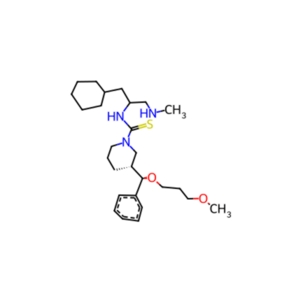 CNCC(CC1CCCCC1)NC(=S)N1CCC[C@@H]([C@@H](OCCCOC)c2ccccc2)C1